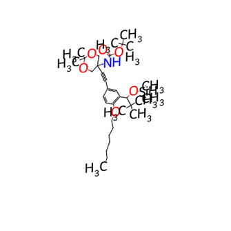 CCCCCCCOc1ccc(C#CC2(NC(=O)OC(C)(C)C)COC(C)(C)OC2)cc1C(O[SiH](C)C)C(C)(C)C